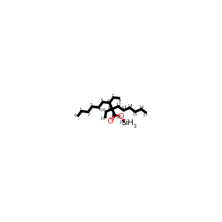 CCCCCCC(CC)C(CC)(CCCCCC)C(=O)O[SiH3]